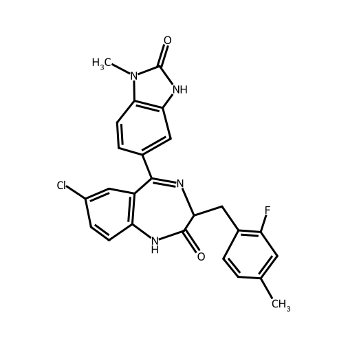 Cc1ccc(CC2N=C(c3ccc4c(c3)[nH]c(=O)n4C)c3cc(Cl)ccc3NC2=O)c(F)c1